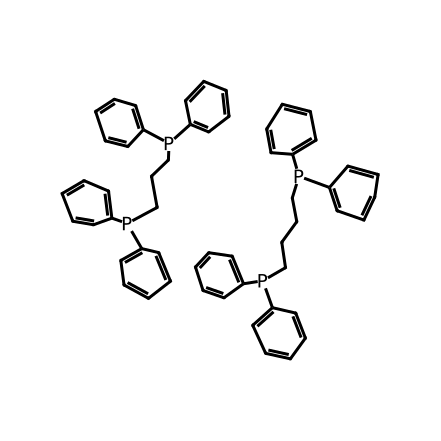 c1ccc(P(CCCCP(c2ccccc2)c2ccccc2)c2ccccc2)cc1.c1ccc(P(CCCP(c2ccccc2)c2ccccc2)c2ccccc2)cc1